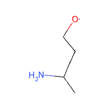 CC(N)CC[O]